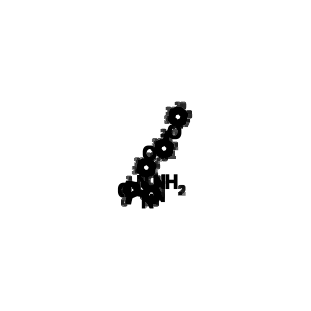 CC1OCc2c1c1ncnc(N)c1n2-c1ccc(Oc2cccc(COc3ccccc3)c2)cc1